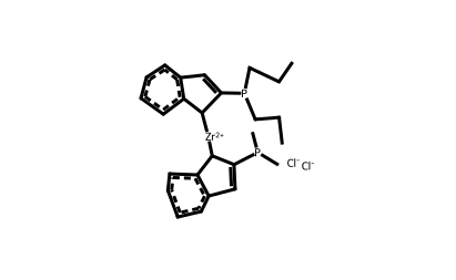 CCCP(CCC)C1=Cc2ccccc2[CH]1[Zr+2][CH]1C(P(C)C)=Cc2ccccc21.[Cl-].[Cl-]